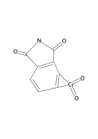 O=C1[N]C(=O)c2c1cc[c]1[c]2[Cr]1(=[O])=[O]